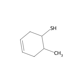 CC1CC=CCC1S